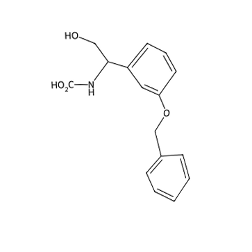 O=C(O)NC(CO)c1cccc(OCc2ccccc2)c1